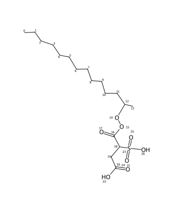 CCCCCCCCCCCCC(C)OOC(=O)C(CC(=O)O)S(=O)(=O)O